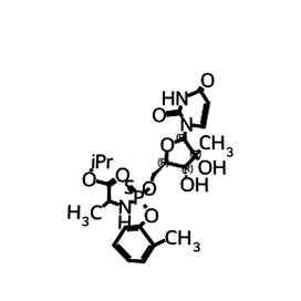 Cc1ccccc1OP(=S)(NC(C)C(=O)OC(C)C)OC[C@H]1O[C@@H](n2ccc(=O)[nH]c2=O)[C@](C)(O)[C@@H]1O